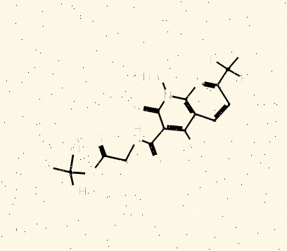 Cn1c(=O)c(C(=O)NCC(=O)OC(C)(C)C)c(O)c2ccc(C(F)(F)F)nc21